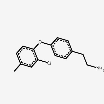 Cc1ccc(Oc2ccc(CCN)cc2)c(Cl)c1